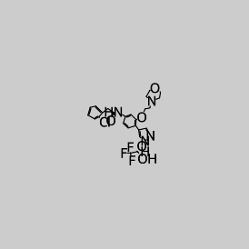 O=C(Cc1ccccc1Cl)Nc1ccc(-c2cn[nH]c2)c(OCCN2CCOCC2)c1.O=C(O)C(F)(F)F